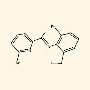 CCc1cccc(CI)c1/N=C(\C)c1cccc(C(C)=O)n1